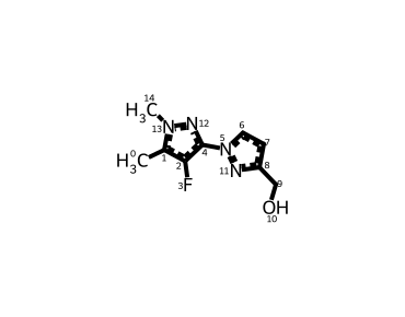 Cc1c(F)c(-n2ccc(CO)n2)nn1C